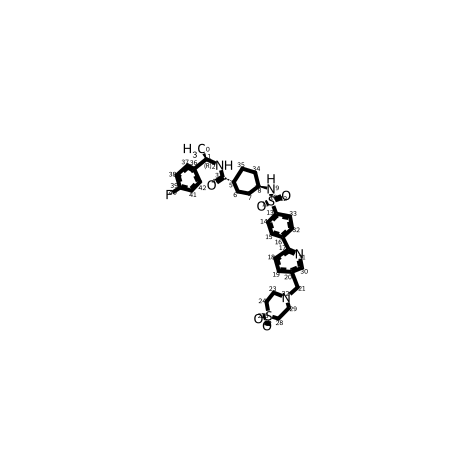 C[C@@H](NC(=O)[C@H]1CC[C@H](NS(=O)(=O)c2ccc(-c3ccc(CN4CCS(=O)(=O)CC4)cn3)cc2)CC1)c1ccc(F)cc1